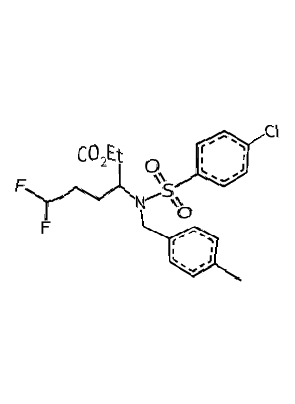 CCOC(=O)C(CCC(F)F)N(Cc1ccc(C)cc1)S(=O)(=O)c1ccc(Cl)cc1